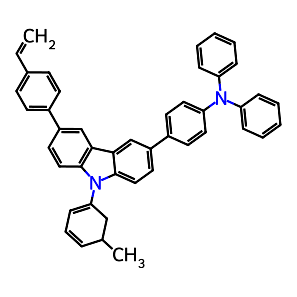 C=Cc1ccc(-c2ccc3c(c2)c2cc(-c4ccc(N(c5ccccc5)c5ccccc5)cc4)ccc2n3C2=CC=CC(C)C2)cc1